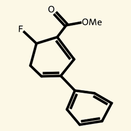 COC(=O)C1=CC(c2ccccc2)=CCC1F